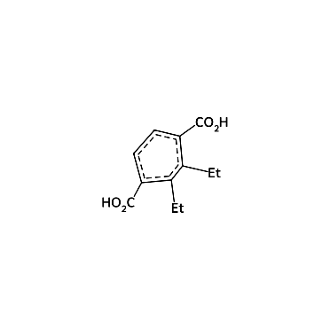 CCc1c(C(=O)O)ccc(C(=O)O)c1CC